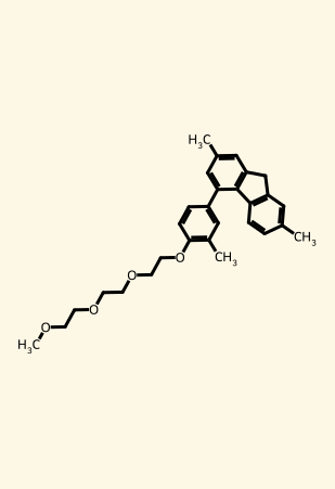 COCCOCCOCCOc1ccc(-c2cc(C)cc3c2-c2ccc(C)cc2C3)cc1C